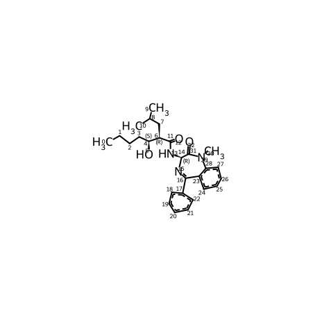 CCCC[C@H](O)[C@@H](CC(C)C)C(=O)N[C@@H]1N=C(c2ccccc2)c2ccccc2N(C)C1=O